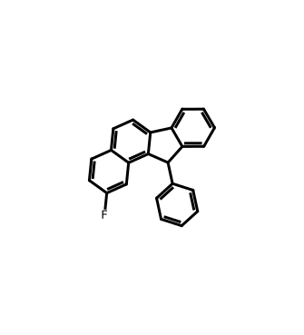 Fc1ccc2ccc3c(c2c1)C(c1ccccc1)c1ccccc1-3